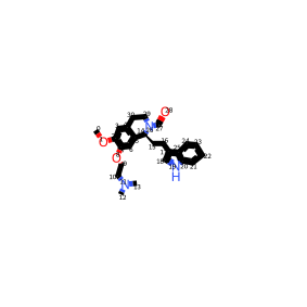 COc1cc2c(cc1OCCN(C)C)[C@H](CCc1c[nH]c3ccccc13)N(C=O)CC2